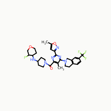 Cc1cc(-c2nc(C(=O)N3CCC(NC4CCOCC4F)CC3)c(C)c(N3CCc4ccc(C(F)(F)F)cc4C3)n2)no1